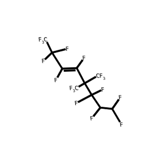 FC(=C(F)C(C(F)(F)F)(C(F)(F)F)C(F)(F)C(F)C(F)F)C(F)(F)C(F)(F)F